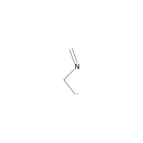 [CH2]CN=C